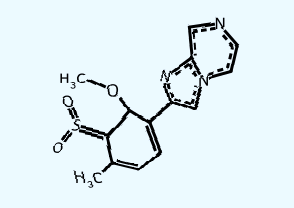 COC1C(c2cn3ccncc3n2)=CC=C(C)C1=S(=O)=O